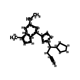 CNc1nc(-c2cnn(C(CC#N)C3CCCC3)c2)c2ccc(C)n2n1